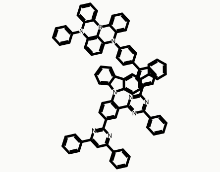 c1ccc(-c2ccc3c(c2)c2ccccc2n3-c2ccc(-c3nc(-c4ccccc4)cc(-c4ccccc4)n3)cc2-c2nc(-c3ccccc3)nc(-c3cccc(-c4ccc(N5c6ccccc6B6c7ccccc7N(c7ccccc7)c7cccc5c76)cc4)c3)n2)cc1